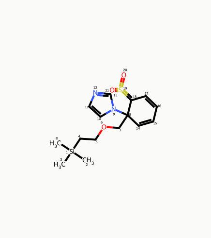 C[Si](C)(C)CCOCC1(n2ccnc2)C=CC=CC1=S(=O)=O